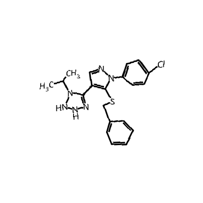 CC(C)N1NNN=C1c1cnn(-c2ccc(Cl)cc2)c1SCc1ccccc1